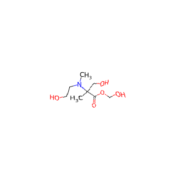 CN(CCO)C(C)(CO)C(=O)OCO